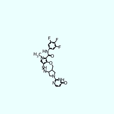 Cn1cc2c(c1C(=O)Nc1cc(F)c(F)c(F)c1)OCC1CN(c3nccc(=O)[nH]3)CC1NS2